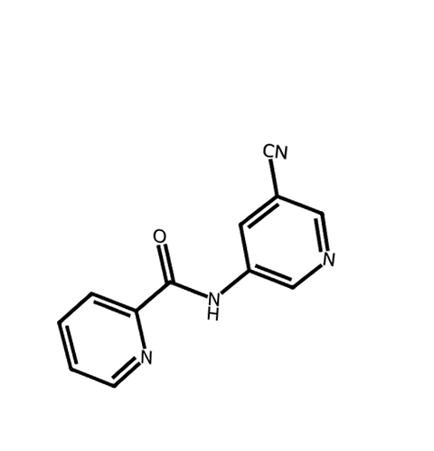 N#Cc1cncc(NC(=O)c2ccccn2)c1